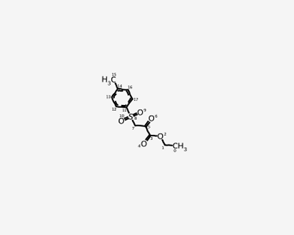 CCOC(=O)C(=O)CS(=O)(=O)c1ccc(C)cc1